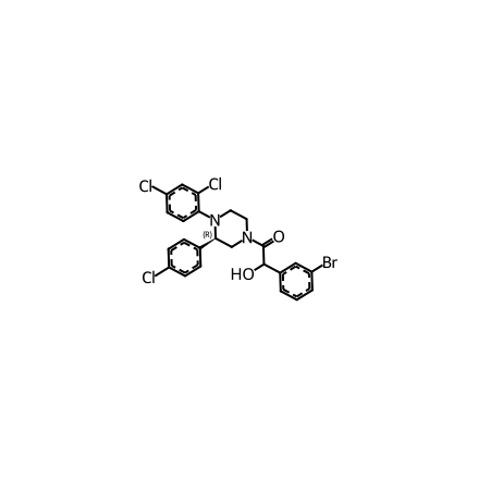 O=C(C(O)c1cccc(Br)c1)N1CCN(c2ccc(Cl)cc2Cl)[C@H](c2ccc(Cl)cc2)C1